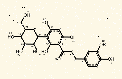 O=C(CCc1ccc(O)c(O)c1)c1c(O)cc(O)c(C2CC(CO)C(O)C(O)C2O)c1O